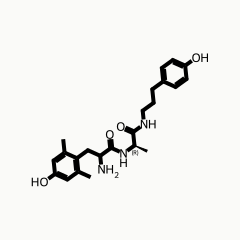 Cc1cc(O)cc(C)c1CC(N)C(=O)N[C@H](C)C(=O)NCCCc1ccc(O)cc1